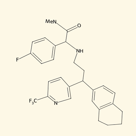 CNC(=O)C(NCCC(c1ccc(C(F)(F)F)nc1)c1ccc2c(c1)CCCC2)c1ccc(F)cc1